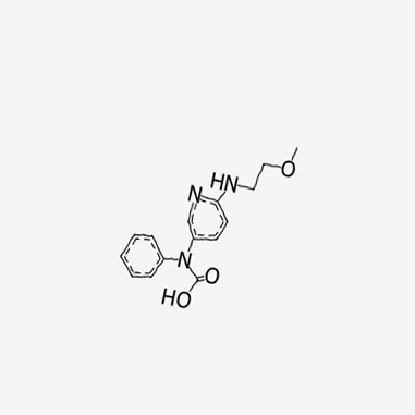 COCCNc1ccc(N(C(=O)O)c2ccccc2)cn1